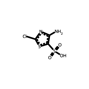 Nc1nc(Cl)sc1S(=O)(=O)O